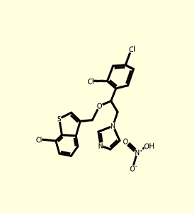 Clc1ccc(C(Cn2ccnc2)OCc2csc3c(Cl)cccc23)c(Cl)c1.O=[N+]([O-])O